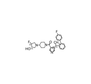 C[C@@H](c1ccccc1-c1ccc(F)cc1)n1cncc1C(=O)N1CCC(N2C[C@H](O)[C@@H](F)C2)CC1